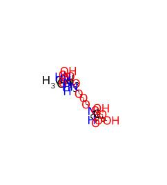 CC(C)(C)OC(=O)N[C@@H](CCC(=O)NCCCOCCOCCOCCCNC(=O)C1=CC=CC2=C(C1)C1(OC2=O)c2ccc(O)cc2Oc2cc(O)ccc21)C(=O)NCC(=O)O